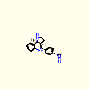 c1ccc2c(c1)N[C@H](c1ccc([C@@H]3CN3)cc1)[C@@H]1CCN[C@H]21